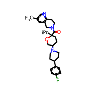 CC(C)C1(C(=O)N2CCc3ncc(C(F)(F)F)cc3C2)CCC(N2CCC(c3ccc(F)cc3)CC2)CO1